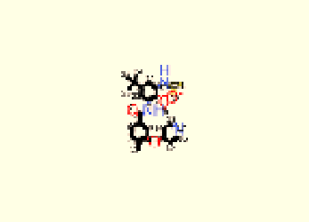 COc1c(NC(=O)c2ccc(C)c(Oc3ccncc3)c2)cc(C(C)(C)C)cc1N[S+](C)[O-]